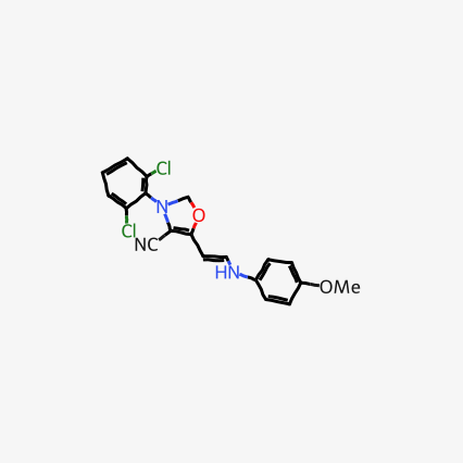 COc1ccc(NC=CC2=C(C#N)N(c3c(Cl)cccc3Cl)CO2)cc1